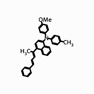 COc1ccc(N(c2ccc(C)cc2)c2ccc(C(C)=CC=Cc3ccccc3)c3ccccc23)cc1